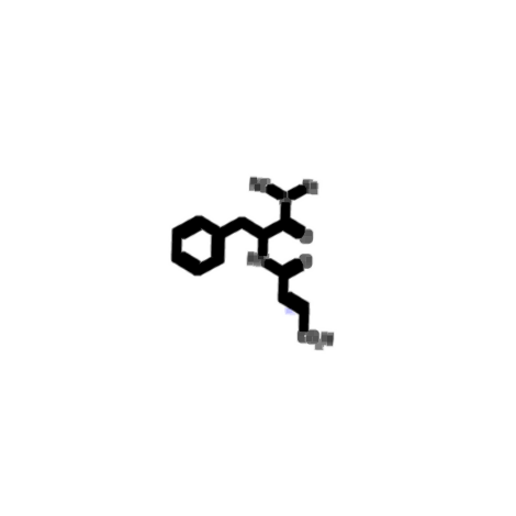 CCN(C#N)C(=O)C(Cc1ccccc1)NC(=O)/C=C/C(=O)O